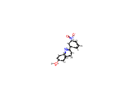 COc1ccc2nc(-c3cc[c]c([N+](=O)[O-])c3)ccc2c1